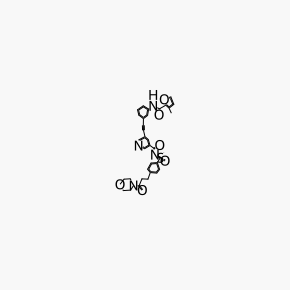 Cc1ccoc1C(=O)Nc1cccc(C#Cc2cncc(C(=O)N=S(C)(=O)c3ccc(CCC(=O)N4CCOCC4)cc3)c2)c1